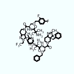 CC(C)(N)C(=O)N[C@H](COCc1ccc(F)cc1F)C(=O)N1CCC2=NN(CC(F)(F)F)C(=O)[C@]2(Cc2ccccn2)C1.CN1N=C2CCN(C(=O)[C@@H](COCc3ccccc3)NC(=O)C(C)(C)N)C[C@@]2(Cc2ccccc2)C1=O